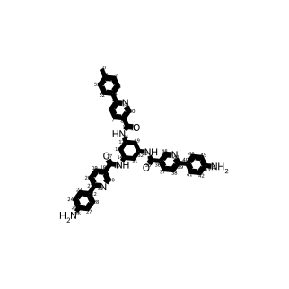 Cc1ccc(-c2ccc(C(=O)NC3CC(NC(=O)c4ccc(-c5ccc(N)cc5)nc4)CC(NC(=O)c4ccc(-c5ccc(N)cc5)nc4)C3)cn2)cc1